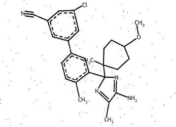 COC1CCC(C)(C2(c3cc(-c4cc(Cl)cc(C#N)c4)ccc3C)N=C(C)C(N)=N2)CC1